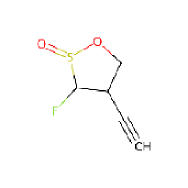 C#CC1COS(=O)C1F